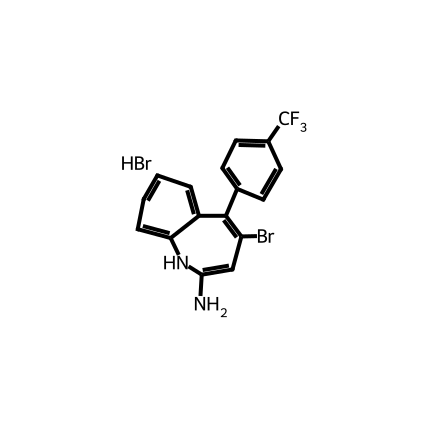 Br.NC1=CC(Br)=C(c2ccc(C(F)(F)F)cc2)c2ccccc2N1